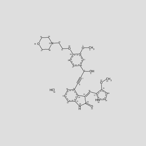 COc1cc(C(O)C#Cc2cccc3c2C(=Cc2[nH]ccc2OC)C(=O)N3)ccc1OCCN1CCOCC1.Cl